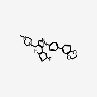 CN1CCN(Cc2cnn(-c3ccc(-c4ccc5c(c4)OCCO5)cc3)c2-c2cc(F)ccc2F)CC1